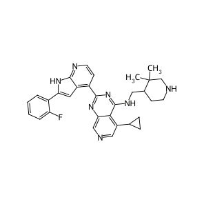 CC1(C)CNCCC1CNc1nc(-c2ccnc3[nH]c(-c4ccccc4F)cc23)nc2cncc(C3CC3)c12